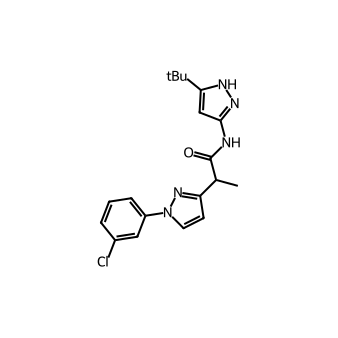 CC(C(=O)Nc1cc(C(C)(C)C)[nH]n1)c1ccn(-c2cccc(Cl)c2)n1